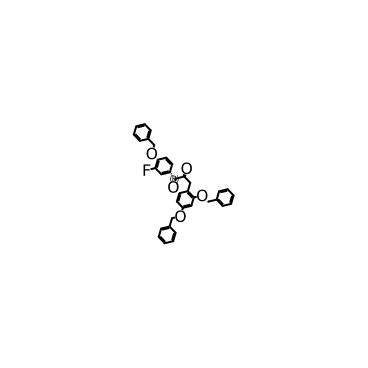 O=C1Cc2c(OCc3ccccc3)cc(OCc3ccccc3)cc2O[C@@H]1c1ccc(OCc2ccccc2)c(F)c1